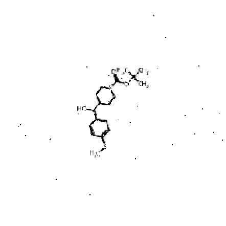 CSc1ccc(C(O)C2CCN(C(=O)OC(C)(C)C)CC2)cc1